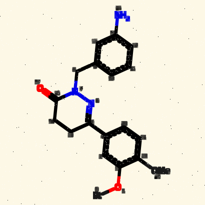 CCOc1cc(C2=NN(Cc3cccc(N)c3)C(=O)CC2)ccc1OC